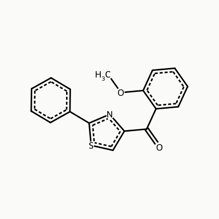 COc1ccccc1C(=O)c1csc(-c2ccccc2)n1